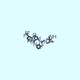 CCN1CCN(CCN2C[C@H]3CC(=O)N(c4cc(C(F)(F)F)cc(C)n4)[C@@H]3C(=O)N(C)c3cccc(F)c32)CC12CNC2